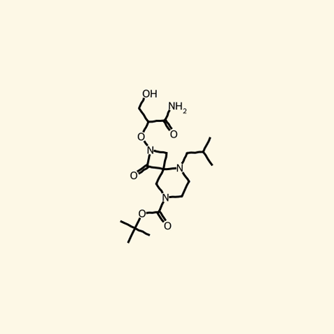 CC(C)CN1CCN(C(=O)OC(C)(C)C)CC12CN(OC(CO)C(N)=O)C2=O